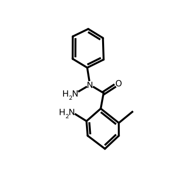 Cc1cccc(N)c1C(=O)N(N)c1ccccc1